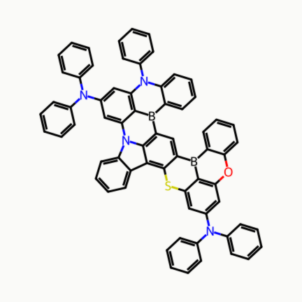 c1ccc(N(c2ccccc2)c2cc3c4c(c2)Sc2c(cc5c6c2c2ccccc2n6-c2cc(N(c6ccccc6)c6ccccc6)cc6c2B5c2ccccc2N6c2ccccc2)B4c2ccccc2O3)cc1